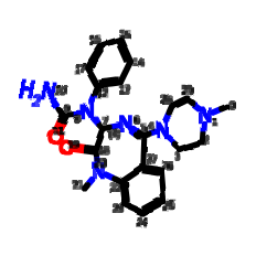 CN1CCN(C2=N[C@H](N(C(N)=O)c3ccccc3)C(=O)N(C)c3ccccc32)CC1